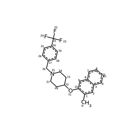 Cc1cc2cnccc2cc1OC1CCN(Cc2ccc(C(F)(F)F)cc2)CC1